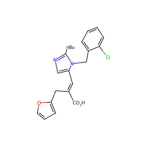 CCCCc1ncc(C=C(Cc2ccco2)C(=O)O)n1Cc1ccccc1Cl